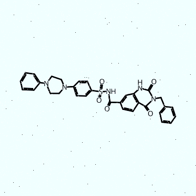 O=C(NS(=O)(=O)c1ccc(N2CCN(c3ccccc3)CC2)cc1)c1ccc2c(=O)n(Cc3ccccc3)c(=O)[nH]c2c1